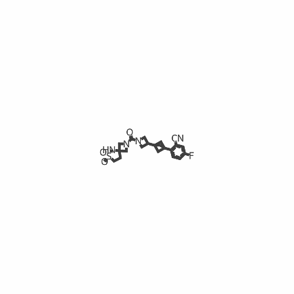 N#Cc1cc(F)ccc1C12CC(C3CN(C(=O)N4CC5(CCS(=O)(=O)N5)C4)C3)(C1)C2